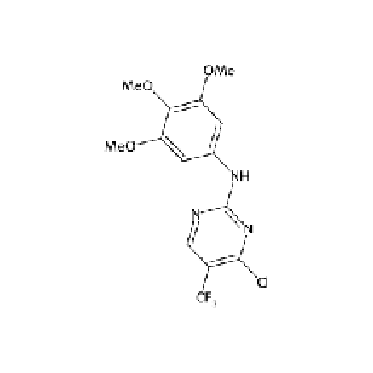 COc1cc(Nc2ncc(C(F)(F)F)c(Cl)n2)cc(OC)c1OC